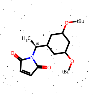 C[C@@H](C1CC(OC(C)(C)C)CC(OC(C)(C)C)C1)N1C(=O)C=CC1=O